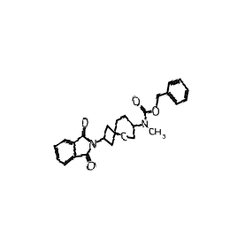 CN(C(=O)OCc1ccccc1)C1CCC2(CC1)CC(N1C(=O)c3ccccc3C1=O)C2